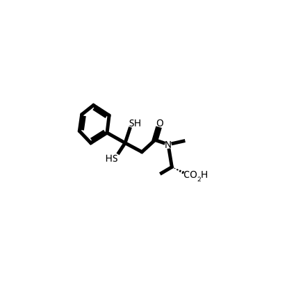 C[C@@H](C(=O)O)N(C)C(=O)CC(S)(S)c1ccccc1